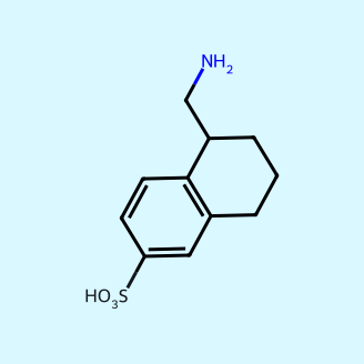 NCC1CCCc2cc(S(=O)(=O)O)ccc21